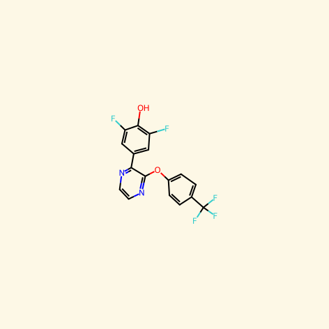 Oc1c(F)cc(-c2nccnc2Oc2ccc(C(F)(F)F)cc2)cc1F